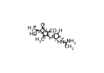 C=C(N)NC[C@H]1CCN(CC2=C(C(=O)O)N3C(=O)C([C@@H](C)O)C3[C@H]2C)C1